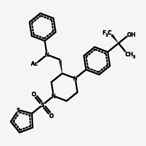 CC(=O)N(C[C@H]1CN(S(=O)(=O)c2cccs2)CCN1c1ccc([C@](C)(O)C(F)(F)F)cc1)c1ccccc1